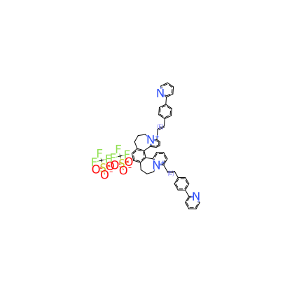 C(=C\c1cccc2[n+]1CCCc1ccc3c(c1-2)-c1cccc(/C=C/c2ccc(-c4ccccn4)cc2)[n+]1CCC3)/c1ccc(-c2ccccn2)cc1.O=S(=O)([O-])C(F)(F)F.O=S(=O)([O-])C(F)(F)F